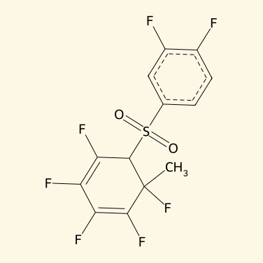 CC1(F)C(F)=C(F)C(F)=C(F)C1S(=O)(=O)c1ccc(F)c(F)c1